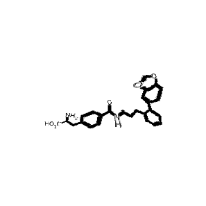 N[C@@H](Cc1ccc(C(=O)NCCCc2ccccc2-c2ccc3c(c2)OCO3)cc1)C(=O)O